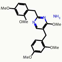 COc1ccc(Cc2ncc(Cc3ccc(OC)cc3OC)c(OC)n2)c(OC)c1.N